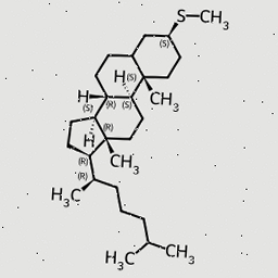 CS[C@H]1CC[C@@]2(C)C(CC[C@H]3[C@@H]4CC[C@H]([C@H](C)CCCC(C)C)[C@@]4(C)CC[C@@H]32)C1